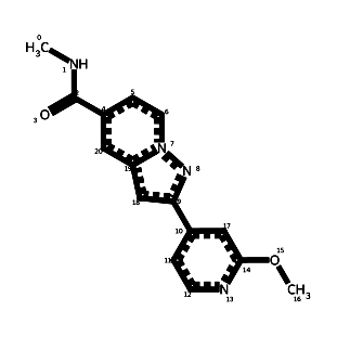 CNC(=O)c1ccn2nc(-c3ccnc(OC)c3)cc2c1